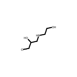 OCCNCC(O)CCl